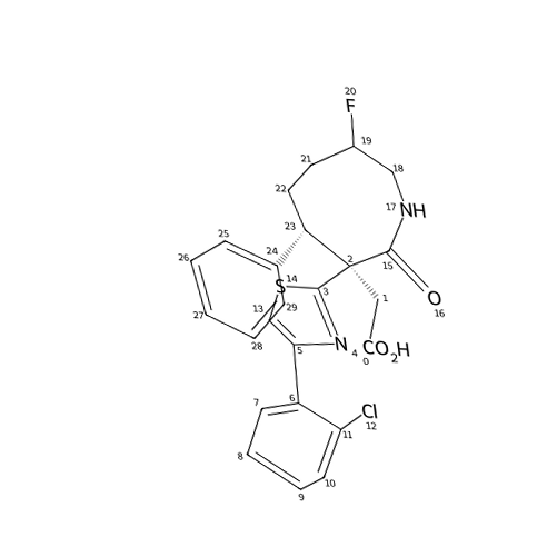 O=C(O)C[C@@]1(c2nc(-c3ccccc3Cl)cs2)C(=O)NCC(F)CC[C@H]1c1ccccc1